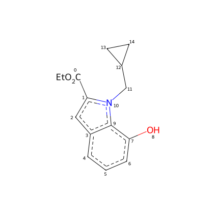 CCOC(=O)c1cc2cccc(O)c2n1CC1CC1